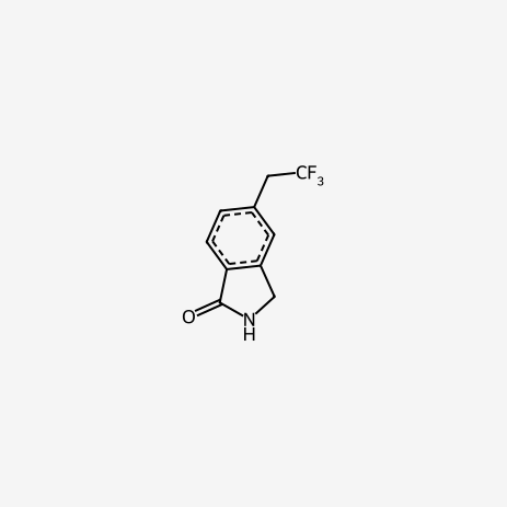 O=C1NCc2cc(CC(F)(F)F)ccc21